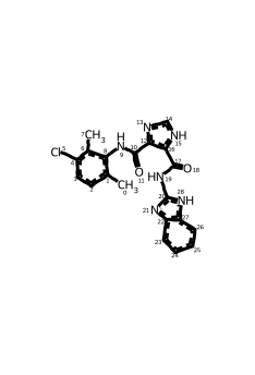 Cc1ccc(Cl)c(C)c1NC(=O)c1nc[nH]c1C(=O)Nc1nc2ccccc2[nH]1